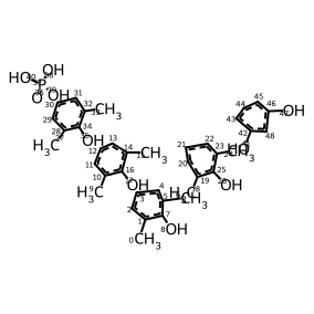 Cc1cccc(C)c1O.Cc1cccc(C)c1O.Cc1cccc(C)c1O.Cc1cccc(C)c1O.O=P(O)(O)O.Oc1cccc(O)c1